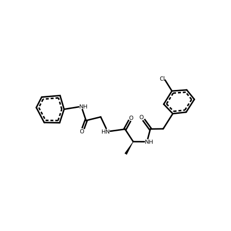 C[C@H](NC(=O)Cc1cccc(Cl)c1)C(=O)NCC(=O)Nc1ccccc1